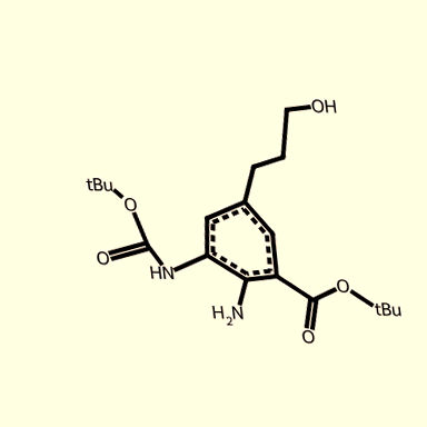 CC(C)(C)OC(=O)Nc1cc(CCCO)cc(C(=O)OC(C)(C)C)c1N